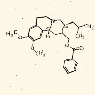 COc1cc2c(cc1OC)[C@H]1CC(COC(=O)c3ccccc3)[C@H](CC(C)C)CN1CC2